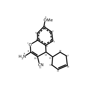 COc1ccc2c(c1)OC(N)=C(C#N)C2C1CC=CCC1